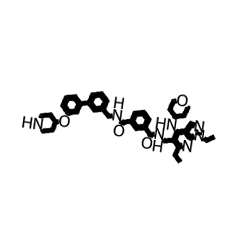 CCc1nc2c(cnn2CC)c(NC2CCOCC2)c1CNC(=O)c1cccc(C(=O)NCc2cccc(-c3cccc(OC4CCNCC4)c3)c2)c1